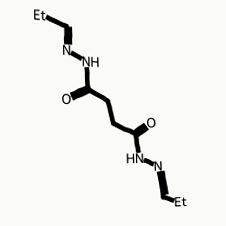 CCC=NNC(=O)CCC(=O)NN=CCC